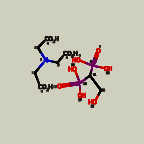 O=C(O)CN(CC(=O)O)CC(=O)O.O=P(O)(O)C(CO)P(=O)(O)O